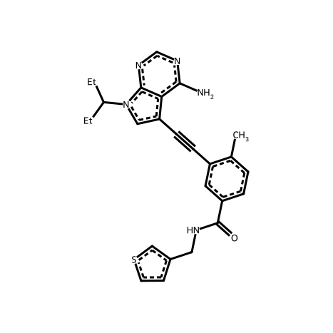 CCC(CC)n1cc(C#Cc2cc(C(=O)NCc3ccsc3)ccc2C)c2c(N)ncnc21